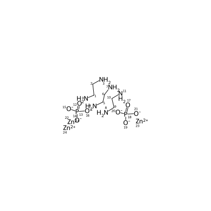 NCCN.NCCN.NCCN.O=P([O-])([O-])[O-].O=P([O-])([O-])[O-].[Zn+2].[Zn+2].[Zn+2]